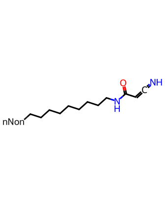 CCCCCCCCCCCCCCCCCCNC(=O)C=C=N